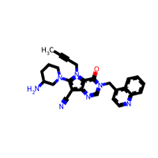 CC#CCn1c(N2CCCC(N)C2)c(C#N)c2ncn(Cc3ccnc4ccccc34)c(=O)c21